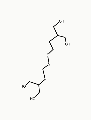 OCC(CO)CCSSCCC(CO)CO